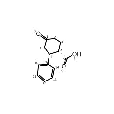 O=C1CC[C@H](C(=O)O)[C@@H](c2ccccc2)C1